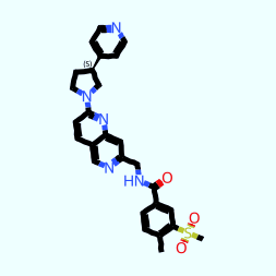 Cc1ccc(C(=O)NCc2cc3nc(N4CC[C@@H](c5ccncc5)C4)ccc3cn2)cc1S(C)(=O)=O